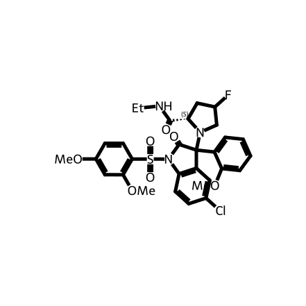 CCNC(=O)[C@@H]1CC(F)CN1C1(c2ccccc2OC)C(=O)N(S(=O)(=O)c2ccc(OC)cc2OC)c2ccc(Cl)cc21